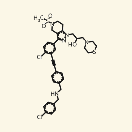 CS(=O)(=O)N1CCc2c(c(-c3ccc(Cl)c(C#Cc4ccc(CNCc5ccc(Cl)cc5)cc4)c3)nn2CC(O)CN2CCSCC2)C1